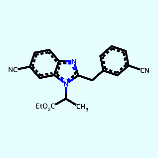 CCOC(=O)C(C)n1c(Cc2cccc(C#N)c2)nc2ccc(C#N)cc21